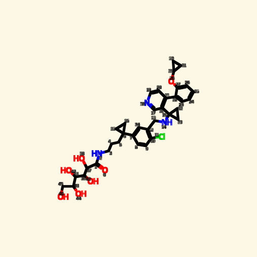 O=C(NCCCC1(c2ccc(Cl)c(CNC3(c4cnccc4-c4ccccc4OC4CC4)CC3)c2)CC1)C(O)C(O)C(O)C(O)CO